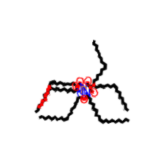 CCCCCCCC/C=C\CCCCCCCC(=O)N(C(=O)CCCCCCC/C=C\CCCCCCCC)P(N(C(=O)CCCCCCC/C=C\CCCCCCCC)C(=O)CCCCCCC/C=C\CCCCCCCC)N(C(=O)CCCCCCC/C=C\CCCCCCCC)C(=O)CCCCCCC/C=C\CCCCCCCC